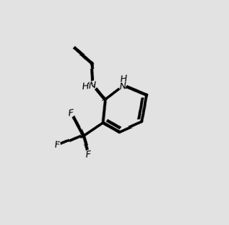 CCN[C]1NC=CC=C1C(F)(F)F